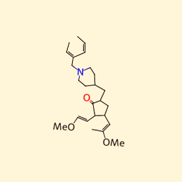 C/C=C\C(=C/C)CN1CCC(CC2CC(/C=C(\C)OC)C(/C=C/OC)C2=O)CC1